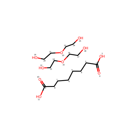 O=C(O)CCCCCCC(=O)O.OCCOCCO.OCCOCCO